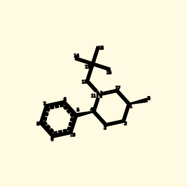 C[C@H]1CC[C@@H](c2ccccc2)N(CC(C)(C)C)C1